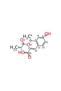 C=CC(=O)OC(C)c1cc(O)ccc1C=CC(=O)O